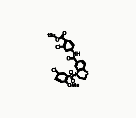 COc1ccc(Cl)cc1S(=O)(=O)N1CCSc2ccc(C(=O)Nc3ccc(C(=O)OC(C)(C)C)c(Cl)c3)cc21